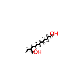 CCC(CO)CCCCCCCCCCO